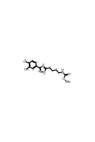 CC(C)(C)OC(=O)NCCCCc1nc(-c2ccc(Cl)c(Cl)c2)no1